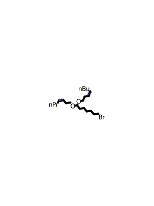 CCC/C=C\CCOC(CCCCCCBr)OCC/C=C\CCCC